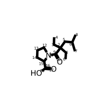 CCC(CC)(CC(C)C)C(=O)N1CCCC1C(=O)O